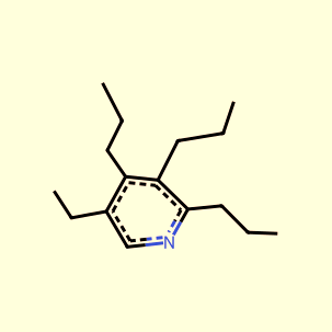 CCCc1ncc(CC)c(CCC)c1CCC